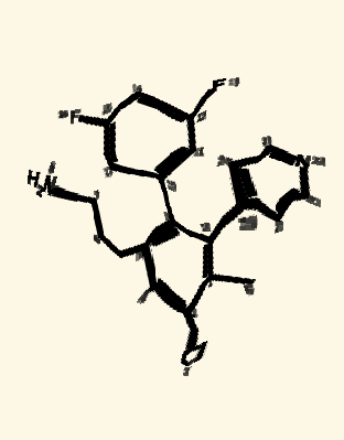 Cc1c(Cl)cc(CCN)c(-c2cc(F)cc(F)c2)c1-c1ccncc1